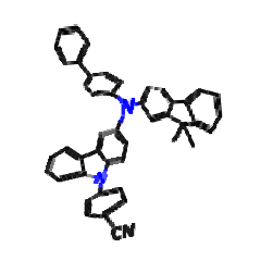 CC1(C)c2ccccc2-c2ccc(N(c3ccc(-c4ccccc4)cc3)c3ccc4c(c3)c3ccccc3n4-c3ccc(C#N)cc3)cc21